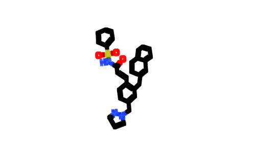 O=C(/C=C/c1ccc(Cn2cccn2)cc1Cc1ccc2ccccc2c1)NS(=O)(=O)c1ccccc1